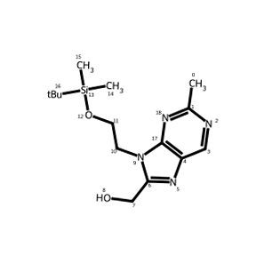 Cc1ncc2nc(CO)n(CCO[Si](C)(C)C(C)(C)C)c2n1